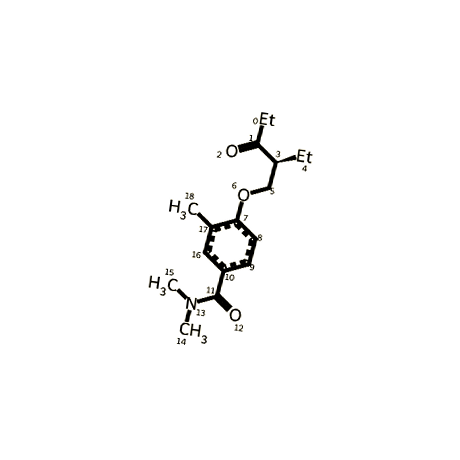 CCC(=O)[C@@H](CC)COc1ccc(C(=O)N(C)C)cc1C